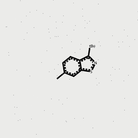 Cc1ccc2c(C(C)(C)C)nsc2c1